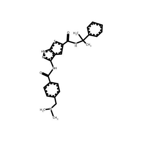 CN(C)Cc1ccc(C(=O)Nc2n[nH]c3sc(C(=O)NC(C)(C)c4ccccc4)cc23)cc1